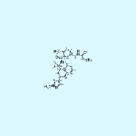 Cc1ccc(CNC(=O)OC(C)(C)C)cc1C(=O)NC1(c2cc(-c3cnn(C)c3)cc3ccccc23)CC1